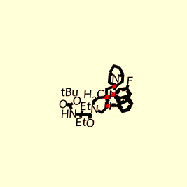 CCC(CC)(NC(=O)OC(C)(C)C)C(=O)N1CCC(CCN2C3CCC2CC(n2c(C)nc4ccccc42)C3)(c2cccc(F)c2)CC1